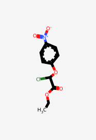 CCOC(=O)C(Cl)Oc1ccc([N+](=O)[O-])cc1